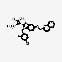 CC1(C)[C@H](C(=O)O)[C@@H]1c1nc2cc(OCc3ccc4ccccc4n3)ccc2n1Cc1ccc(Cl)cc1Cl